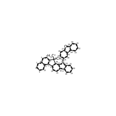 CC1(C)c2ccc3ccccc3c2-c2ccc3c4ccccc4n(-c4ccc5oc6ccccc6c5c4)c3c21